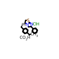 CC(C)Cc1ccc(C(C)C(=O)O)cc1.Cl.c1ccc(C2CN3CCSC3=N2)cc1